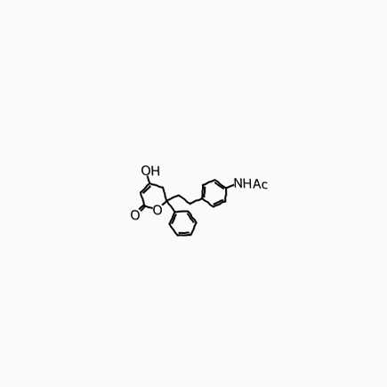 CC(=O)Nc1ccc(CCC2(c3ccccc3)CC(O)=CC(=O)O2)cc1